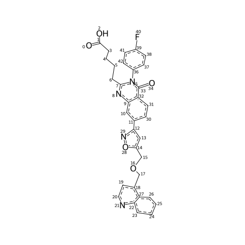 O=C(O)CCCCc1nc2cc(-c3cc(COCc4ccnc5ccccc45)on3)ccc2c(=O)n1-c1ccc(F)cc1